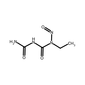 CCN(N=O)C(=O)NC(N)=O